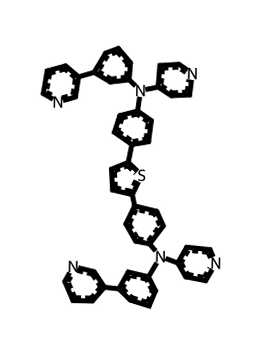 c1cncc(-c2cccc(N(c3ccncc3)c3ccc(-c4ccc(-c5ccc(N(c6ccncc6)c6cccc(-c7cccnc7)c6)cc5)s4)cc3)c2)c1